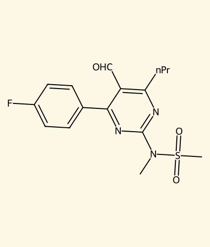 CCCc1nc(N(C)S(C)(=O)=O)nc(-c2ccc(F)cc2)c1C=O